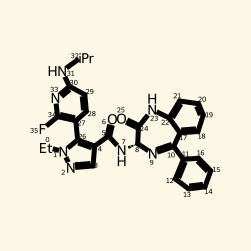 CCn1ncc(C(=O)N[C@H]2N=C(c3ccccc3)c3ccccc3NC2=O)c1-c1ccc(NC(C)C)nc1F